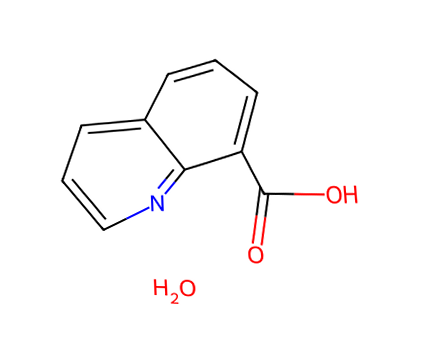 O.O=C(O)c1cccc2cccnc12